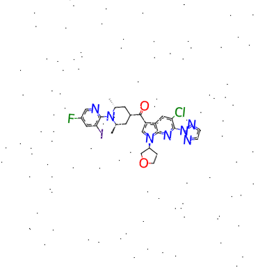 C[C@@H]1CC(C(=O)c2cn([C@H]3CCOC3)c3nc(-n4nccn4)c(Cl)cc23)C[C@@H](C)N1c1ncc(F)cc1I